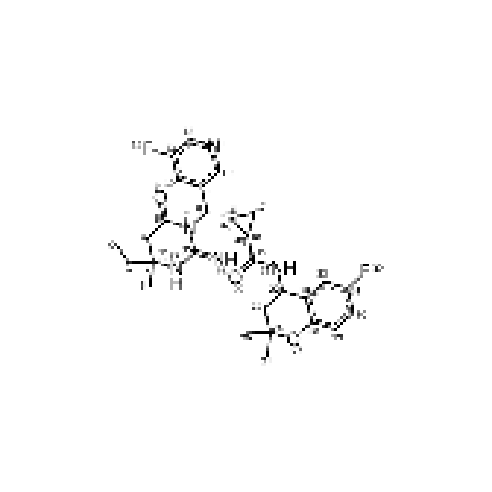 CC[C@]1(C)CC(=O)N(C(c2cncc(F)c2)[C@@H]2C[C@H]2C(=O)NC2CC(C)(C)Oc3ccc(F)cc32)C(=N)N1